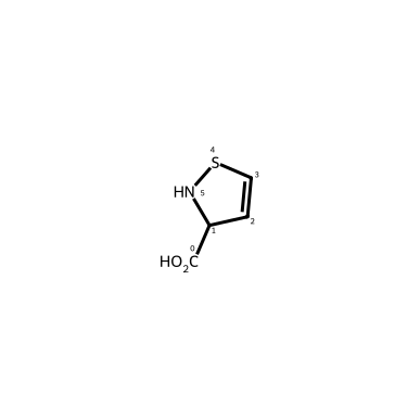 O=C(O)C1C=CSN1